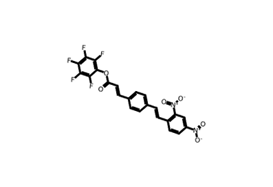 O=C(/C=C/c1ccc(/C=C/c2ccc([N+](=O)[O-])cc2[N+](=O)[O-])cc1)Oc1c(F)c(F)c(F)c(F)c1F